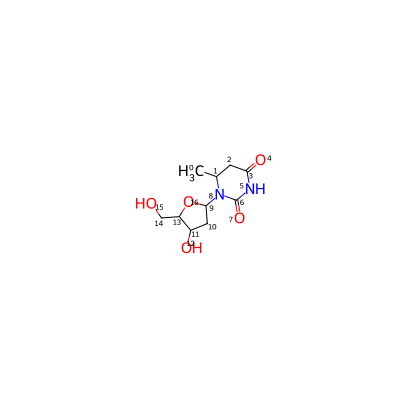 CC1CC(=O)NC(=O)N1C1CC(O)C(CO)O1